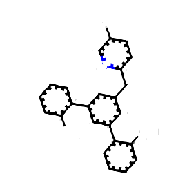 Cc1ccc(Cc2cc(-c3ccccc3C(=O)O)cc(-c3ccccc3C(=O)O)c2)nc1